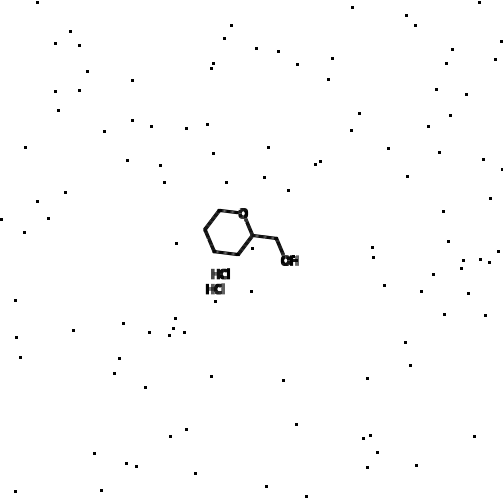 Cl.Cl.OCC1CCCCO1